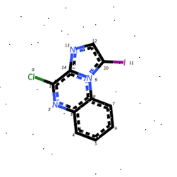 Clc1nc2ccccc2n2c(I)cnc12